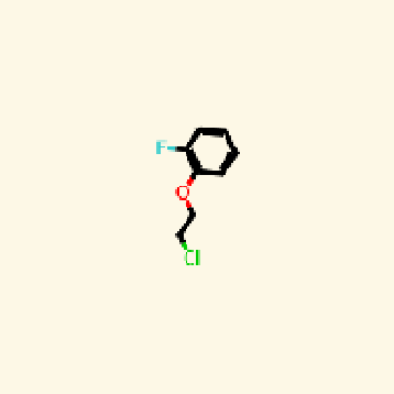 Fc1[c]cccc1OCCCl